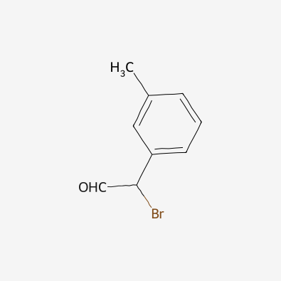 Cc1cccc(C(Br)C=O)c1